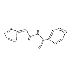 O=C(NNC=C1C=CC=N1)c1ccncc1